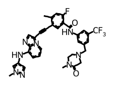 Cc1cc(F)c(C(=O)Nc2cc(CN3CCN(C)C(=O)C3)cc(C(F)(F)F)c2)cc1C#Cc1cnc2c(Nc3cnn(C)c3)cccn12